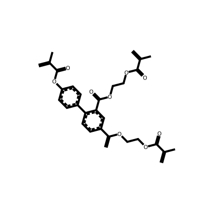 C=C(C)C(=O)OCCOC(=C)c1ccc(-c2ccc(OC(=O)C(=C)C)cc2)c(C(=O)OCCOC(=O)C(=C)C)c1